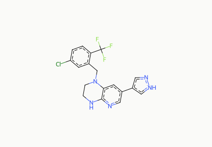 FC(F)(F)c1ccc(Cl)cc1CN1CCNc2ncc(-c3cn[nH]c3)cc21